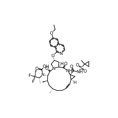 CCOc1ccc2c(O[C@@H]3C[C@H]4C(=O)N[C@]5(C(=O)NS(=O)(=O)C6(C)CC6)C[C@H]5C=CCC[C@H](C)C[C@@H](C)[C@H](N(C(=O)O)[C@H](C)C(F)(F)F)C(=O)N4C3)nccc2c1